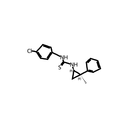 C[C@]1(c2ccccc2)C[C@H]1NC(=S)Nc1ccc(Cl)cc1